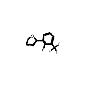 Fc1c(C2CCCO2)cccc1C(F)(F)F